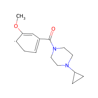 COC1=CC(C(=O)N2CCN(C3CC3)CC2)=CC[CH]1